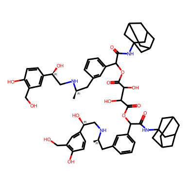 C[C@H](Cc1cccc(C(OC(=O)C(O)C(O)C(=O)OC(C(=O)NC23CC4CC(CC(C4)C2)C3)c2cccc(C[C@@H](C)NC[C@H](O)c3ccc(O)c(CO)c3)c2)C(=O)NC23CC4CC(CC(C4)C2)C3)c1)NC[C@H](O)c1ccc(O)c(CO)c1